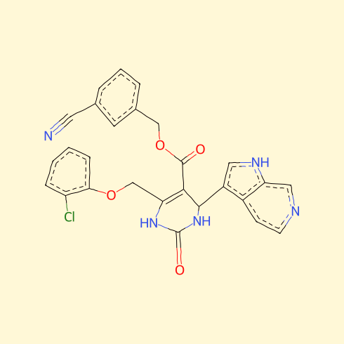 N#Cc1cccc(COC(=O)C2=C(COc3ccccc3Cl)NC(=O)NC2c2c[nH]c3cnccc23)c1